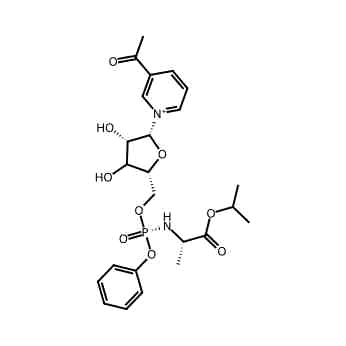 CC(=O)c1ccc[n+]([C@@H]2O[C@H](CO[P@@](=O)(N[C@@H](C)C(=O)OC(C)C)Oc3ccccc3)C(O)[C@@H]2O)c1